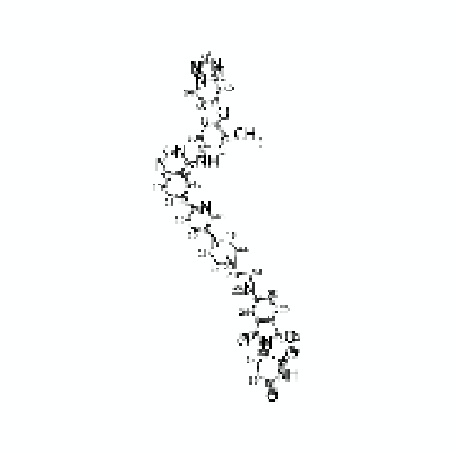 Cc1cc(Nc2ncnc3ccc(-c4ccc(N5CCN(C6CN(c7ccc8c(c7)C(=O)N(C7CCC(=O)NC7=O)C8=O)C6)CC5)cn4)cc23)ccc1Oc1ccn2ncnc2c1